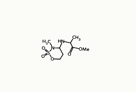 COC(=O)C(C)NC1CCOS(=O)(=O)N1C